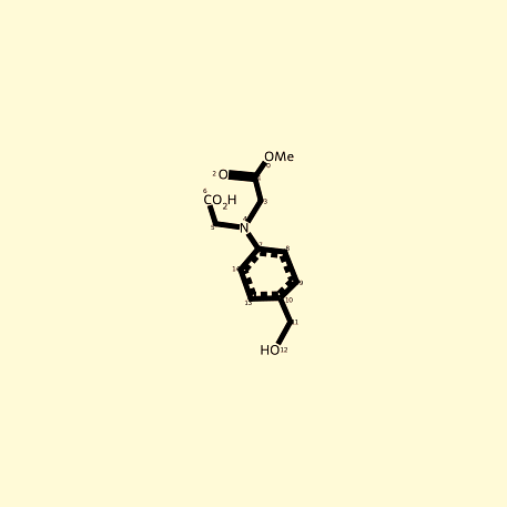 COC(=O)CN(CC(=O)O)c1ccc(CO)cc1